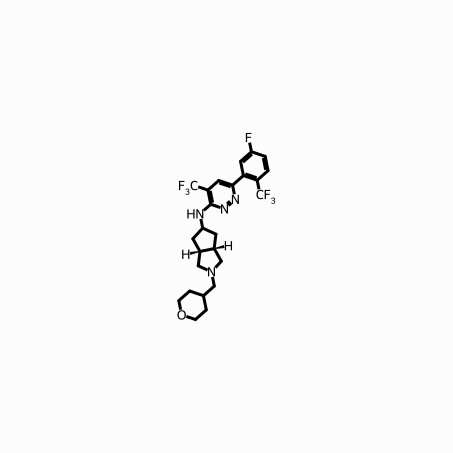 Fc1ccc(C(F)(F)F)c(-c2cc(C(F)(F)F)c(NC3C[C@@H]4CN(CC5CCOCC5)C[C@@H]4C3)nn2)c1